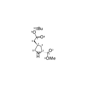 COC(=O)[C@H]1C[C@H](CC(=O)OC(C)(C)C)CN1